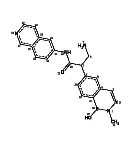 CN1N=Cc2cc(C(CN)C(=O)Nc3ccc4cnccc4c3)ccc2B1O